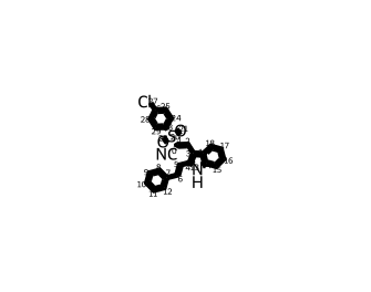 N#CC(=Cc1c(/C=C/c2ccccc2)[nH]c2ccccc12)S(=O)(=O)c1ccc(Cl)cc1